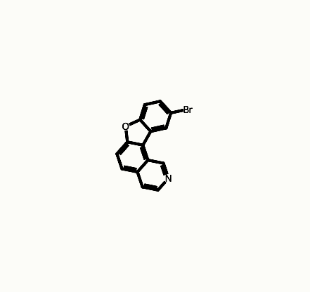 Brc1ccc2oc3ccc4ccncc4c3c2c1